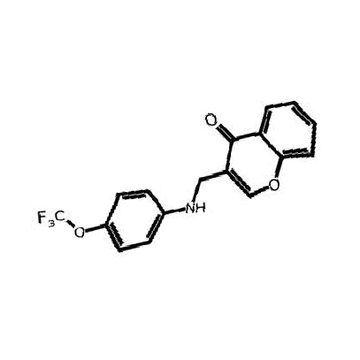 O=c1c(CNc2ccc(OC(F)(F)F)cc2)coc2ccccc12